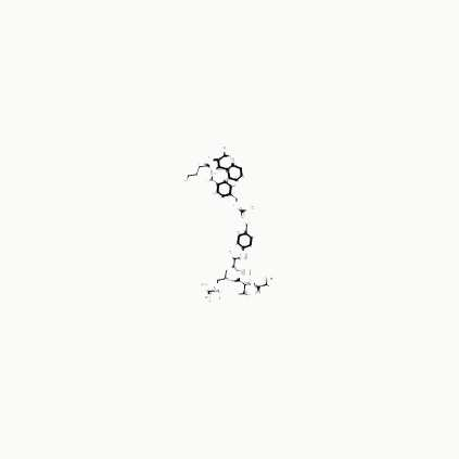 CCCCc1nc2c(N)nc3ccccc3c2n1Cc1ccc(CNC(=O)OCc2ccc(NC(=O)[C@H](CCCNC(N)=O)NC(=O)C(NC(=O)C(C)C)C(C)C)cc2)cc1